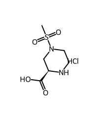 CS(=O)(=O)N1CCN[C@@H](C(=O)O)C1.Cl